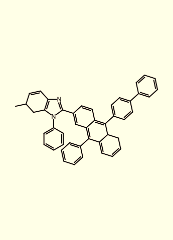 CC1C=Cc2nc(-c3ccc4c(c3)=C(c3ccccc3)C3=CC=CCC3C=4c3ccc(-c4ccccc4)cc3)n(-c3ccccc3)c2C1